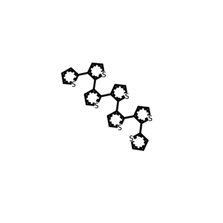 c1csc(-c2ccsc2-c2ccsc2-c2ccsc2-c2ccsc2-c2ccsc2-c2cccs2)c1